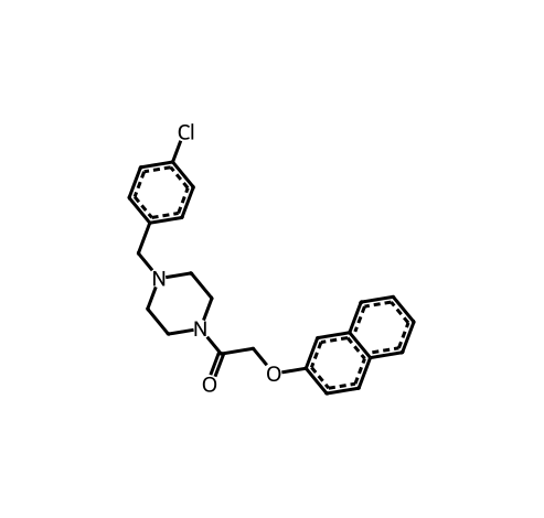 O=C(COc1ccc2ccccc2c1)N1CCN(Cc2ccc(Cl)cc2)CC1